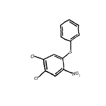 O=[N+]([O-])c1cc(Cl)c(Cl)cc1Sc1ccccc1